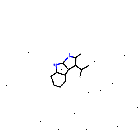 CC(C)C1C(C)NC2NC3CCCCC3C21